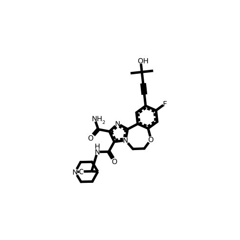 CC(C)(O)C#Cc1cc2c(cc1F)OCCn1c-2nc(C(N)=O)c1C(=O)NC1CN2CCC1CC2